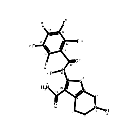 CCN1CCc2c(sc(N(F)C(=O)c3c(F)c(F)c(F)c(F)c3F)c2C(N)=O)C1